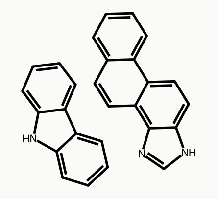 c1ccc2c(c1)[nH]c1ccccc12.c1ccc2c(c1)ccc1c2ccc2[nH]cnc21